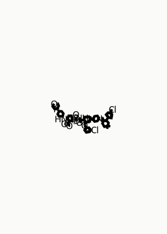 CC1(C)CCC(CN2CCN(c3ccc(C(=O)NS(=O)(=O)c4ccc(N[C@H]5CC[C@H](N6CCOCC6)CC5)c([N+](=O)[O-])c4)c(Oc4cccc(Cl)c4)c3)CC2)=C(c2ccc(Cl)cc2)C1